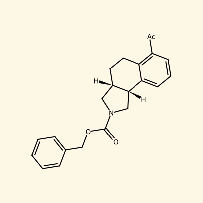 CC(=O)c1cccc2c1CC[C@H]1CN(C(=O)OCc3ccccc3)C[C@@H]21